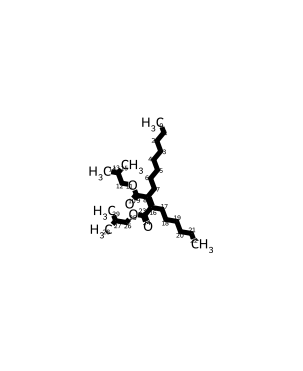 CCCCCCCC/C(C(=O)OCC(C)C)=C(\CCCCCC)C(=O)OCC(C)C